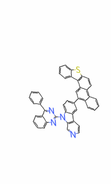 c1ccc(-c2nc(-n3c4ccc(-c5cc6c(ccc7sc8ccccc8c76)c6ccccc56)cc4c4ccncc43)nc3ccccc23)cc1